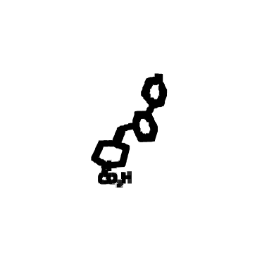 O=C(O)N1CCC(=Cc2cccc(-c3ccncc3)c2)CC1